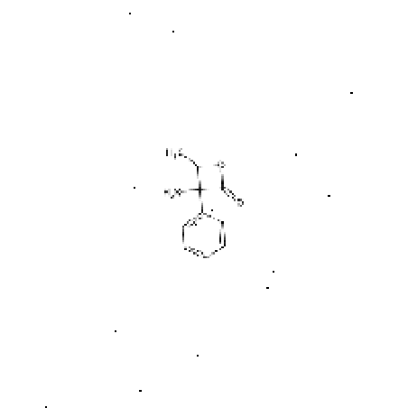 CC1OC(=O)C1(N)c1ccccc1